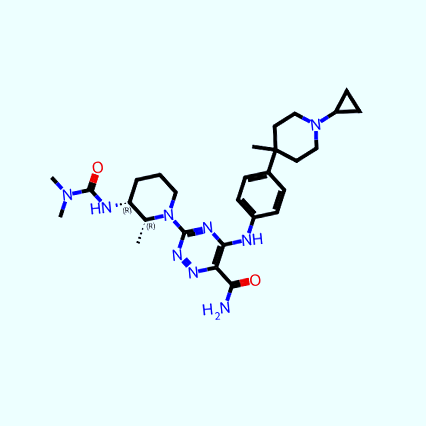 C[C@@H]1[C@H](NC(=O)N(C)C)CCCN1c1nnc(C(N)=O)c(Nc2ccc(C3(C)CCN(C4CC4)CC3)cc2)n1